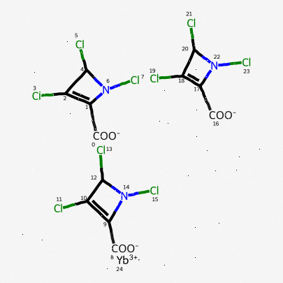 O=C([O-])C1=C(Cl)C(Cl)N1Cl.O=C([O-])C1=C(Cl)C(Cl)N1Cl.O=C([O-])C1=C(Cl)C(Cl)N1Cl.[Yb+3]